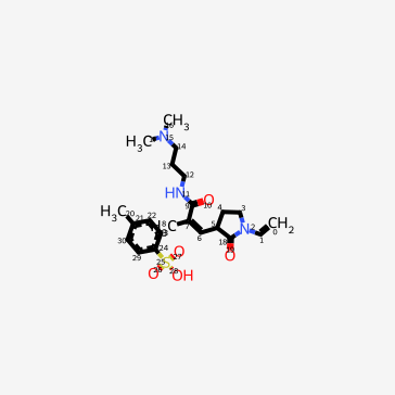 C=CN1CCC(C=C(C)C(=O)NCCCN(C)C)C1=O.Cc1ccc(S(=O)(=O)O)cc1